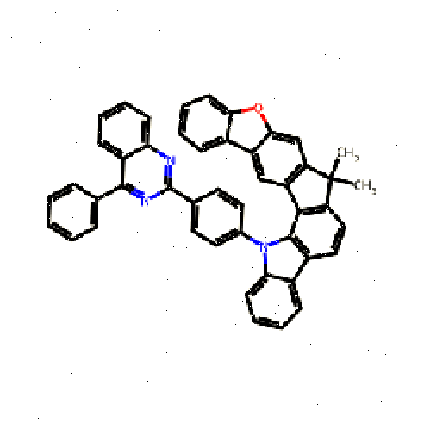 CC1(C)c2cc3oc4ccccc4c3cc2-c2c1ccc1c3ccccc3n(-c3ccc(-c4nc(-c5ccccc5)c5ccccc5n4)cc3)c21